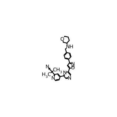 CC(C)(C#N)c1cc(-c2cncc(-c3cc(-c4ccc(CNC5CCCOC5)cc4)no3)n2)ccn1